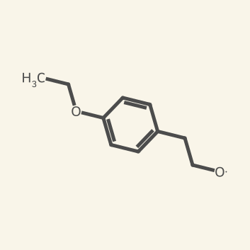 CCOc1ccc(CC[O])cc1